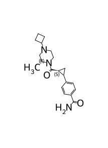 C[C@@H]1CN(C2CCC2)CCN1C(=O)[C@H]1CC1c1ccc(C(N)=O)cc1